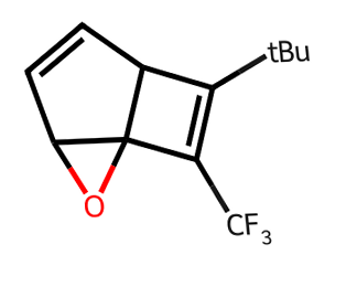 CC(C)(C)C1=C(C(F)(F)F)C23OC2C=CC13